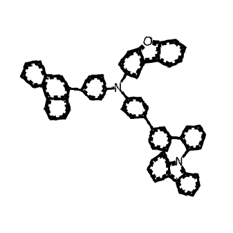 c1cc(-c2ccc(N(c3ccc(-c4cc5ccccc5c5ccccc45)cc3)c3ccc4oc5ccccc5c4c3)cc2)cc(-c2ccccc2-n2c3ccccc3c3ccccc32)c1